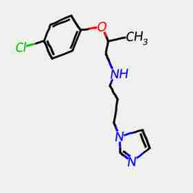 CC(CNCCCn1ccnc1)Oc1ccc(Cl)cc1